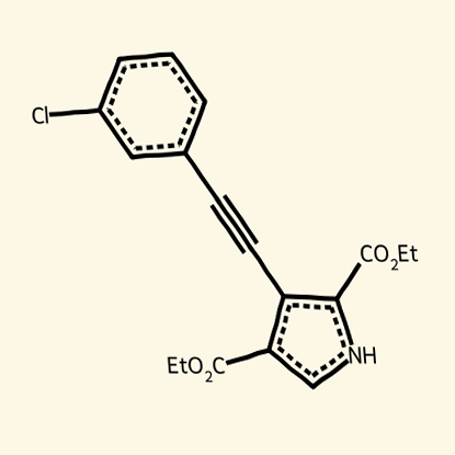 CCOC(=O)c1c[nH]c(C(=O)OCC)c1C#Cc1cccc(Cl)c1